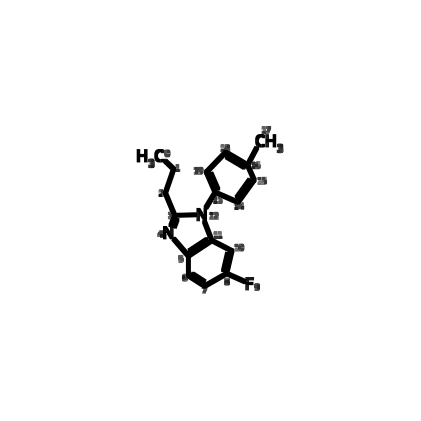 CCCc1nc2ccc(F)cc2n1-c1ccc(C)cc1